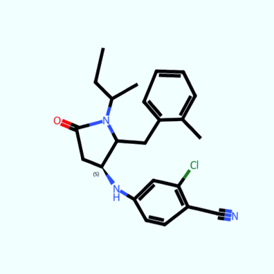 CCC(C)N1C(=O)C[C@H](Nc2ccc(C#N)c(Cl)c2)C1Cc1ccccc1C